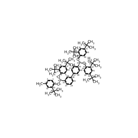 Cc1ccc(OP(Oc2ccc(C(C)(C)C)cc2C(C)(C)C)c2cccc(-c3ccc(P(Oc4ccc(C(C)(C)C)cc4C(C)(C)C)Oc4ccc(C(C)(C)C)cc4C(C)(C)C)cc3)c2)c(C(C)(C)C)c1